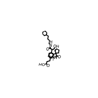 Cc1c(CCC(=O)O)ccc(C(CO)C(=O)NCCCCC2CCCCC2)c1C1(C(N)=O)CCCC1